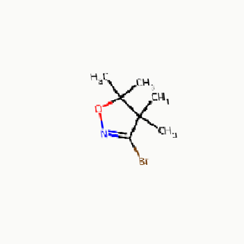 CC1(C)ON=C(Br)C1(C)C